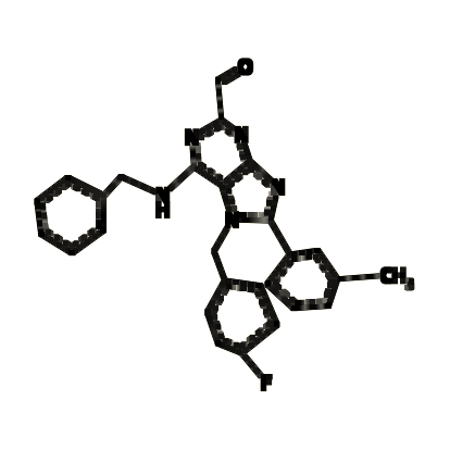 Cc1cccc(-c2nc3nc(C=O)nc(NCc4ccccc4)c3n2Cc2ccc(F)cc2)c1